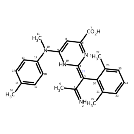 CC(=N)/C(=C1/N=C(C(=O)O)C=C(N(C)c2ccc(C)cc2)N1)c1c(C)cccc1C